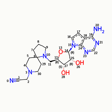 N#CCN1CCC2(CCCN2C[C@H]2O[C@@H](n3ccc4c(N)ncnc43)[C@H](O)[C@@H]2O)CC1